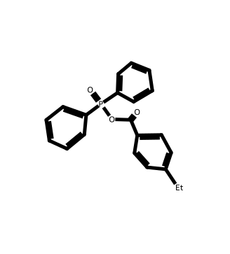 CCc1ccc(C(=O)OP(=O)(c2ccccc2)c2ccccc2)cc1